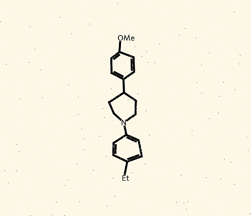 CCc1ccc(N2CCC(c3ccc(OC)cc3)CC2)cc1